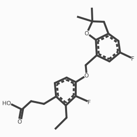 CCc1c(CCC(=O)O)ccc(OCc2cc(F)cc3c2OC(C)(C)C3)c1F